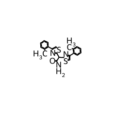 Cc1ccccc1-c1csc(C(C(N)=O)c2nc(-c3ccccc3C)cs2)n1